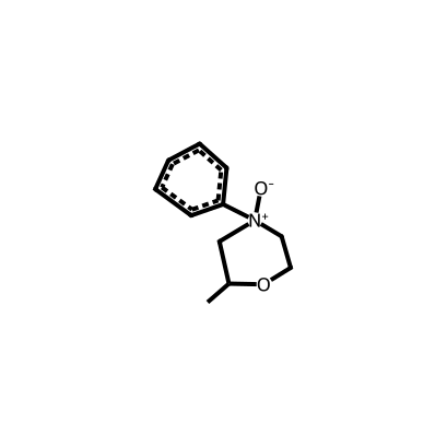 CC1C[N+]([O-])(c2ccccc2)CCO1